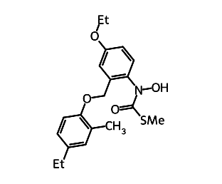 CCOc1ccc(N(O)C(=O)SC)c(COc2ccc(CC)cc2C)c1